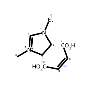 CCN1C=[N+](C)CC1.O=C(O)/C=C\C(=O)O